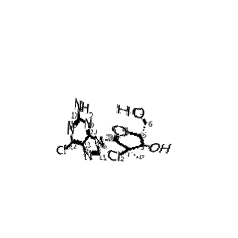 C[C@@]1(Cl)[C@H](O)[C@@H](CO)O[C@H]1n1cnc2c(Cl)nc(N)nc21